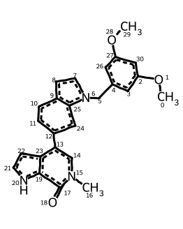 COc1cc(Cn2ccc3ccc(-c4cn(C)c(=O)c5[nH]ccc45)cc32)cc(OC)c1